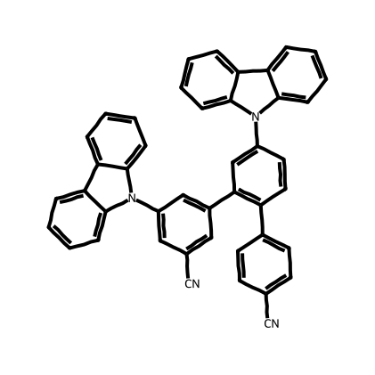 N#Cc1ccc(-c2ccc(-n3c4ccccc4c4ccccc43)cc2-c2cc(C#N)cc(-n3c4ccccc4c4ccccc43)c2)cc1